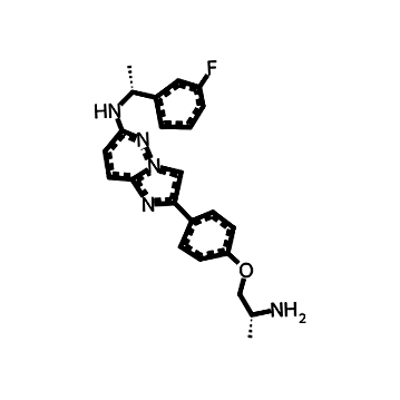 C[C@@H](N)COc1ccc(-c2cn3nc(N[C@H](C)c4cccc(F)c4)ccc3n2)cc1